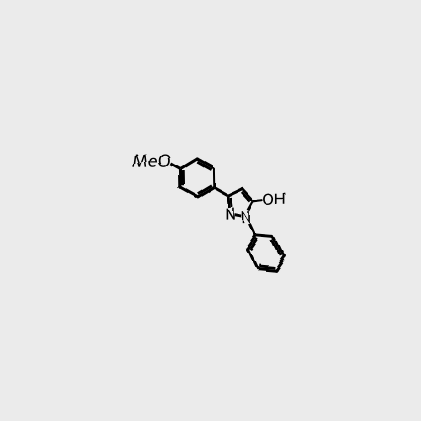 COc1ccc(-c2cc(O)n(-c3ccccc3)n2)cc1